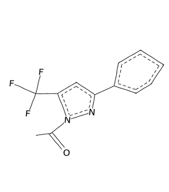 CC(=O)n1nc(-c2ccccc2)cc1C(F)(F)F